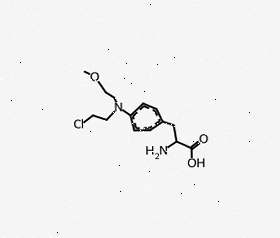 COCCN(CCCl)c1ccc(CC(N)C(=O)O)cc1